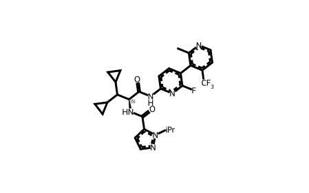 Cc1nccc(C(F)(F)F)c1-c1ccc(NC(=O)[C@@H](NC(=O)c2ccnn2C(C)C)C(C2CC2)C2CC2)nc1F